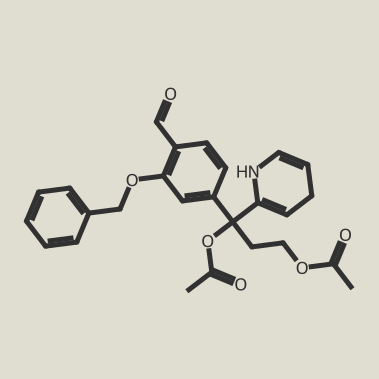 CC(=O)OCCC(OC(C)=O)(C1=CCC=CN1)c1ccc(C=O)c(OCc2ccccc2)c1